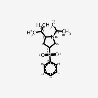 CC(C)C1CC(S(=O)(=O)c2ccccc2)CN1C(C)C